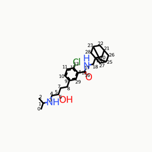 CC(C)NC[C@@H](O)CCc1ccc(Cl)c(C(=O)NCC23CC4CC(CC(C4)C2)C3)c1